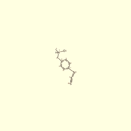 C[NH+]([O-])Cc1ccc(N=C=S)cc1